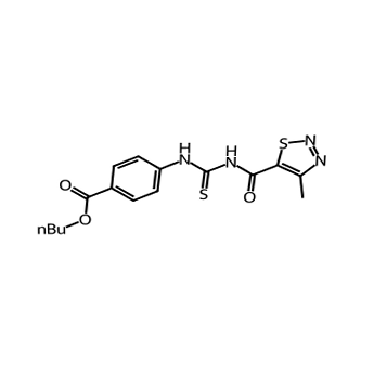 CCCCOC(=O)c1ccc(NC(=S)NC(=O)c2snnc2C)cc1